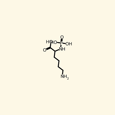 NCCCCC(NP(=O)(O)O)C(=O)O